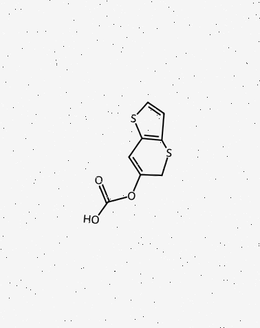 O=C(O)OC1=Cc2sccc2SC1